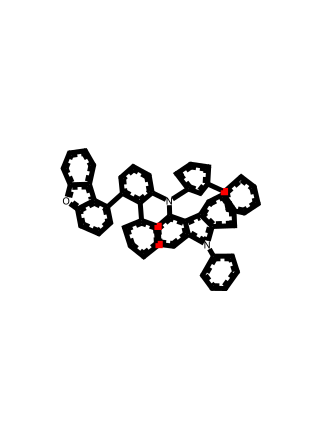 c1ccc(-c2cccc(N(c3cccc(-c4cccc5oc6ccccc6c45)c3-c3ccccc3)c3cccc4c3c3ccccc3n4-c3ccccc3)c2)cc1